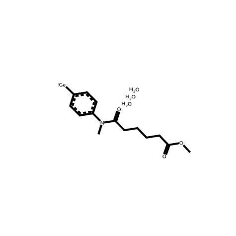 COC(=O)CCCCC(=O)N(C)c1cc[c]([Ge])cc1.O.O.O